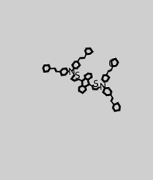 C(=Cc1ccc(N(c2ccc(C=Cc3ccccc3)cc2)c2ccc(-c3c4ccccc4c(-c4ccc(N(c5ccc(C=Cc6ccccc6)cc5)c5ccc(C=Cc6ccccc6)cc5)s4)c4ccccc34)s2)cc1)c1ccccc1